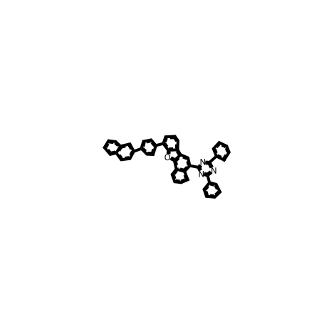 c1ccc(-c2nc(-c3ccccc3)nc(-c3cc4c5cccc(-c6ccc(-c7ccc8ccccc8c7)cc6)c5oc4c4ccccc34)n2)cc1